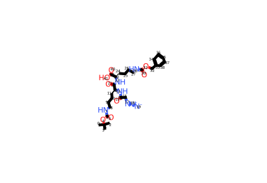 CC(C)(C)OC(=O)NCCCC[C@H](NC(=O)CN=[N+]=[N-])C(=O)N[C@@H](CCCCNC(=O)OCc1ccccc1)C(=O)O